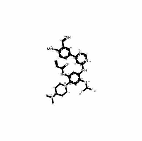 C=CC(=O)Nc1cc(Nc2cc(-c3ccc(NC)c(C=N)c3)ncn2)c(OC(F)F)cc1N1CCC(N(C)C)CC1